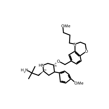 COCCCN1CCOc2ccc(CO[C@H]3CN[C@H](CC(C)(C)N)CC3c3ccc(OC)cc3)cc21